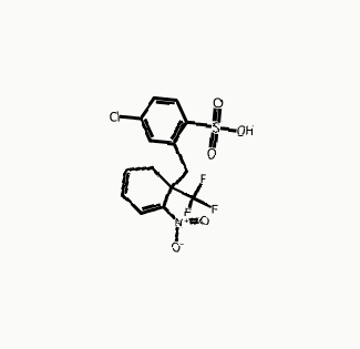 O=[N+]([O-])C1=CC=CCC1(Cc1cc(Cl)ccc1S(=O)(=O)O)C(F)(F)F